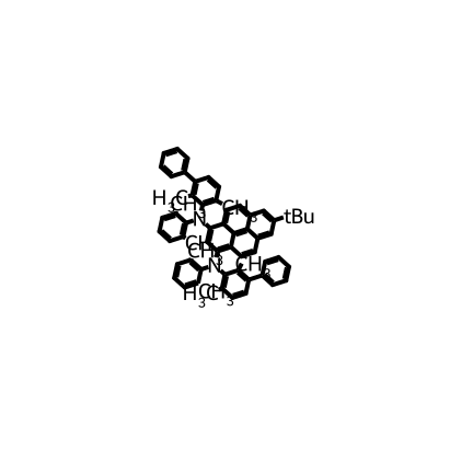 Cc1cccc(C)c1N(c1c(C)ccc(-c2ccccc2)c1C)c1cc(N(c2c(C)cccc2C)c2c(C)ccc(-c3ccccc3)c2C)c2ccc3cc(C(C)(C)C)cc4ccc1c2c43